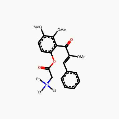 CC[N+](CC)(CC)CC(=O)Oc1ccc(OC)c(OC)c1C(=O)C(=Cc1ccccc1)OC